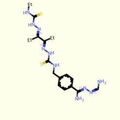 CCNC(=S)N/N=C(CC)/C(CC)=N/NC(=S)NCc1ccc(/C(N)=N/N=C\N)cc1